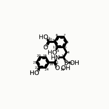 O=C(NC(Cc1cccc(C(=O)O)c1O)B(O)O)c1cccc(O)c1